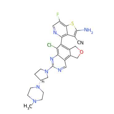 CN1CCN([C@@H]2CCN(c3ncc4c5c(c(-c6ncc(F)c7sc(N)c(C#N)c67)c(Cl)c4n3)COC5)C2)CC1